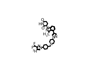 [2H]c1cn(C2CCC(CN3CCC(n4cc(-c5cccc6c5c(C)nn6C5CCC(=O)NC5=O)cn4)CC3)CC2)nc1C(F)F